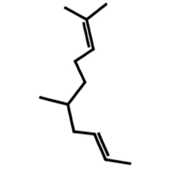 CC=CCC(C)CCC=C(C)C